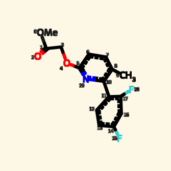 COC(=O)COc1ccc(C)c(-c2ccc(F)cc2F)n1